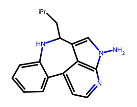 CC(C)CC1Nc2ccccc2-c2ccnc3c2c1cn3N